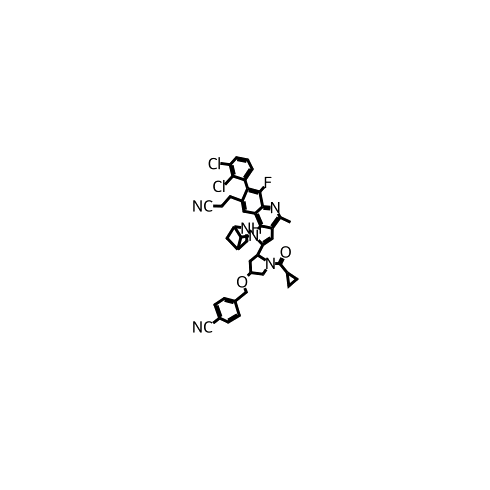 Cc1nc2c(F)c(-c3cccc(Cl)c3Cl)c(CCC#N)cc2c2c1cc(C1CC(OCc3ccc(C#N)cc3)CN1C(=O)C1CC1)n2C1C2CNC1C2